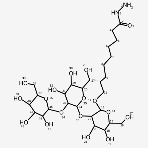 NNC(=O)CCCCCCCCOC1OC(CO)C(O)C(O)C1OC1OC(CO)C(O)C(O)C1OC1OC(CO)C(O)C(O)C1O